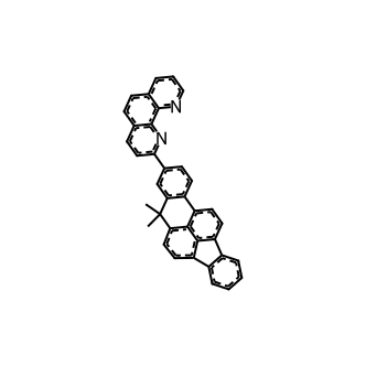 CC1(C)c2cc(-c3ccc4ccc5cccnc5c4n3)ccc2-c2ccc3c4c(ccc1c24)-c1ccccc1-3